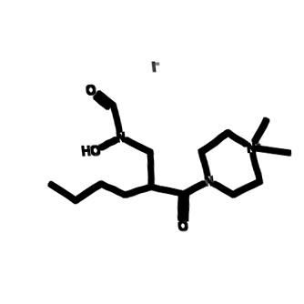 CCCCC(CN(O)C=O)C(=O)N1CC[N+](C)(C)CC1.[I-]